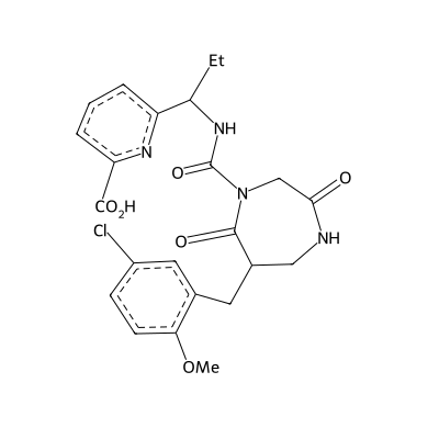 CCC(NC(=O)N1CC(=O)NCC(Cc2cc(Cl)ccc2OC)C1=O)c1cccc(C(=O)O)n1